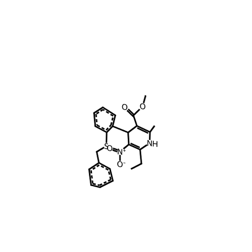 CCC1=C([N+](=O)[O-])C(c2ccccc2SCc2ccccc2)C(C(=O)OC)=C(C)N1